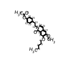 CCCCCOc1cc2c(=O)n(CCc3ccc(OC(C)=O)cc3)ccc2cc1OC